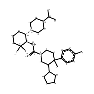 Cc1ccc(C2(C)CCN(C(=O)N[C@@H]3[C@@H](N4CCN(C(C)C)CC4)CCCC3(F)F)CC2C2CCCC2)cc1